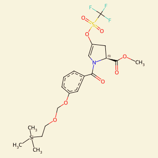 COC(=O)[C@@H]1CC(OS(=O)(=O)C(F)(F)F)=CN1C(=O)c1cccc(OCOCC[Si](C)(C)C)c1